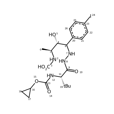 C[C@H](NC(=O)O)[C@H](O)C(NNC(=O)[C@@H](NC(=O)OC1CC1)C(C)(C)C)c1ccc(I)cc1